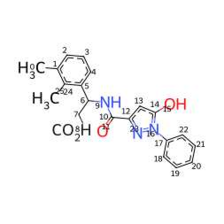 Cc1cccc(C(CC(=O)O)NC(=O)c2cc(O)n(-c3ccccc3)n2)c1C